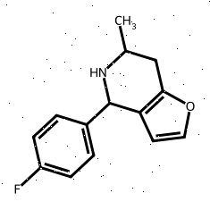 CC1Cc2occc2C(c2ccc(F)cc2)N1